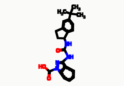 CC(C)(C)c1ccc2c(c1)CCC2NC(=O)Nc1nn(C(=O)O)c2ccccc12